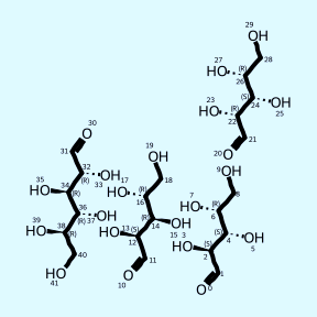 O=C[C@@H](O)[C@@H](O)[C@H](O)CO.O=C[C@@H](O)[C@H](O)[C@H](O)CO.O=C[C@H](O)[C@@H](O)[C@H](O)CO.O=C[C@H](O)[C@H](O)[C@H](O)[C@H](O)CO